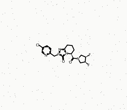 O=C([C@@H]1CCCc2nn(Cc3ccc(Cl)cn3)c(=O)n21)N1C[C@@H](F)[C@@H](F)C1